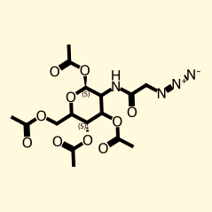 CC(=O)OCC1O[C@@H](OC(C)=O)C(NC(=O)CN=[N+]=[N-])C(OC(C)=O)[C@@H]1OC(C)=O